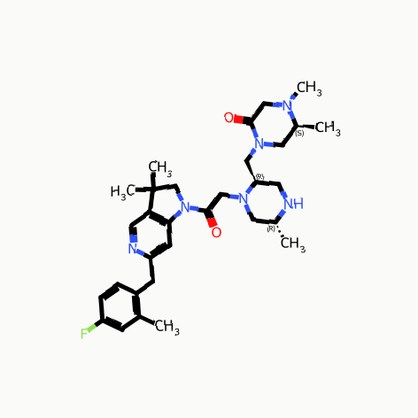 Cc1cc(F)ccc1Cc1cc2c(cn1)C(C)(C)CN2C(=O)CN1C[C@@H](C)NC[C@@H]1CN1C[C@H](C)N(C)CC1=O